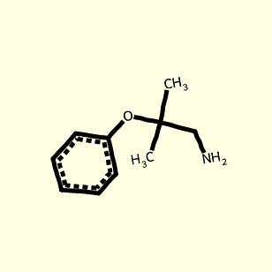 CC(C)(CN)Oc1ccccc1